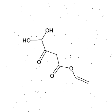 C=COC(=O)CC(=O)C(O)O